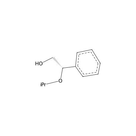 CC(C)O[C@H](CO)c1ccccc1